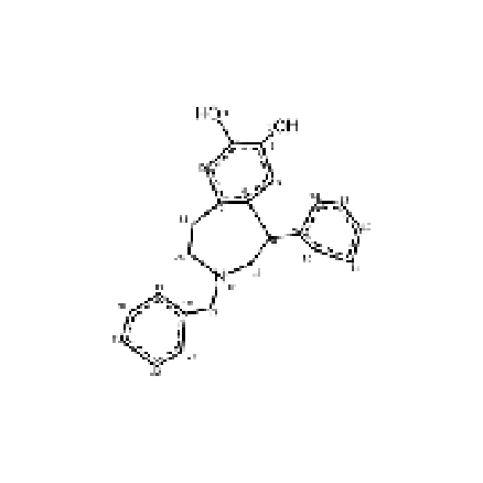 Oc1cc2c(cc1O)C(c1ccccc1)CN(Cc1ccccc1)CC2